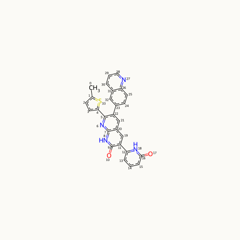 Cc1ccc(-c2nc3[nH]c(=O)c(-c4cccc(=O)[nH]4)cc3cc2-c2ccc3ncccc3c2)s1